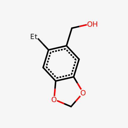 CCc1cc2c(cc1CO)OCO2